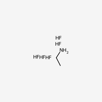 CCN.F.F.F.F.F